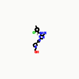 Cc1ccc([C@@H](C)Nc2nc(N3CC([C@H]4CCCN(CCO)C4)C3)cnc2C#N)c(Cl)c1